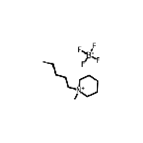 CCCCC[N+]1(C)CCCCC1.F[B-](F)(F)F